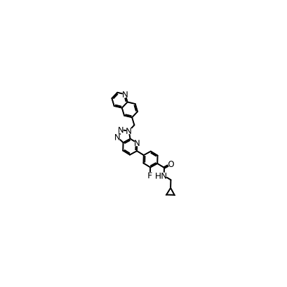 O=C(NCC1CC1)c1ccc(-c2ccc3nnn(Cc4ccc5ncccc5c4)c3n2)cc1F